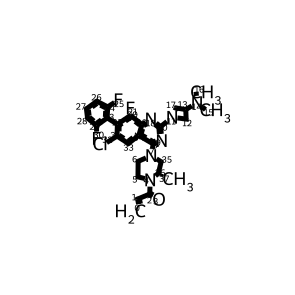 C=CC(=O)N1CCN(c2nc(N3CC(N(C)C)C3)nc3c(F)c(-c4c(F)cccc4F)c(Cl)cc23)C[C@H]1C